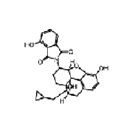 O=C1c2cccc(O)c2C(=O)N1[C@@H]1CC[C@@]2(O)[C@H]3Cc4ccc(O)c5c4[C@@]2(CCN3CC2CC2)[C@H]1O5